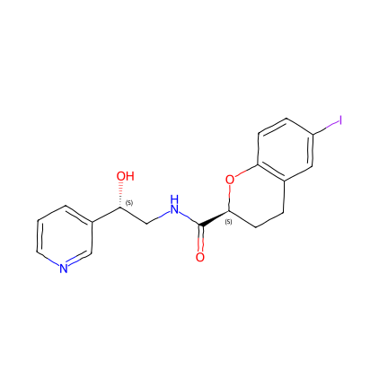 O=C(NC[C@@H](O)c1cccnc1)[C@@H]1CCc2cc(I)ccc2O1